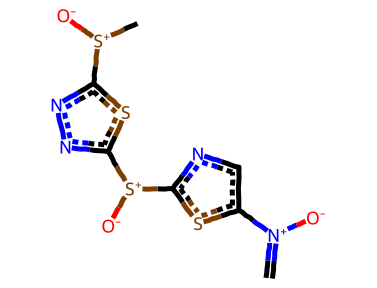 C=[N+]([O-])c1cnc([S+]([O-])c2nnc([S+](C)[O-])s2)s1